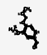 COCOc1cnc(C=O)cc1OC